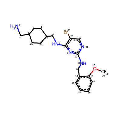 NCC1CCC(CNc2nc(NCc3ccccc3OC(F)(F)F)ncc2Br)CC1